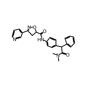 CN(C)C(=O)C(c1ccccc1)c1ccc(NC(=O)C2CC(c3cccnc3)=NO2)cc1